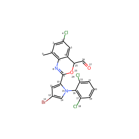 Cc1cc(Cl)cc2c1N=C(c1cc(Br)cn1-c1c(Cl)cccc1Cl)OC2C=O